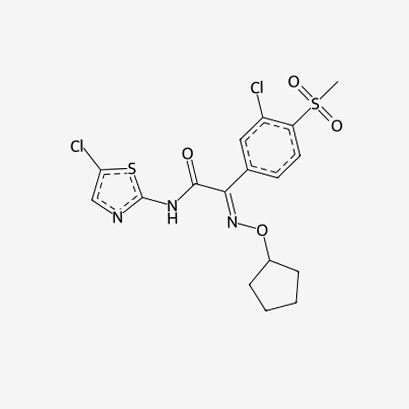 CS(=O)(=O)c1ccc(/C(=N\OC2CCCC2)C(=O)Nc2ncc(Cl)s2)cc1Cl